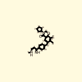 CN/C=C\C(=N)c1ccc(Cc2cc3c(c(F)c2C)OCN(C2CCCC2)C3=O)cc1